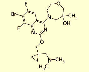 CN(C)CC1(COc2nc(N3CCOCC(C)(O)C3)c3cc(F)c(Br)c(F)c3n2)CC1